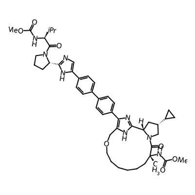 COC(=O)N[C@H](C(=O)N1CCC[C@H]1c1ncc(-c2ccc(-c3ccc(-c4nc5[nH]c4COCCCCCC[C@@](C)(NC(=O)OC)C(=O)N4C[C@@H](C6CC6)C[C@@H]54)cc3)cc2)[nH]1)C(C)C